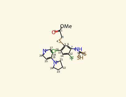 COC(=O)CSc1cc(NC(=S)S)c(F)cc1Cl.c1cc(N2CCCC2)ccn1